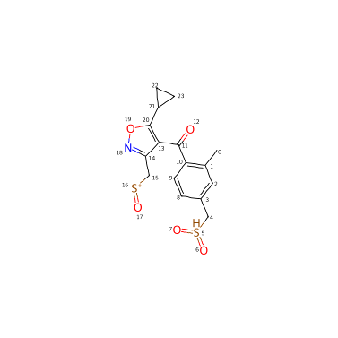 Cc1cc(C[SH](=O)=O)ccc1C(=O)c1c(C[S+]=O)noc1C1CC1